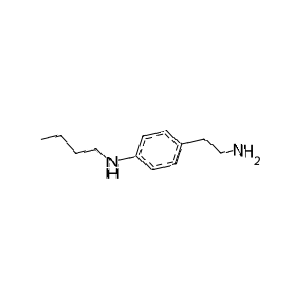 CCCCNc1ccc(CCN)cc1